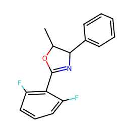 CC1OC(c2c(F)cccc2F)=NC1c1ccccc1